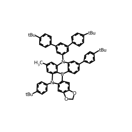 Cc1cc2c3c(c1)N(c1ccc(C(C)(C)C)cc1)c1cc4c(cc1B3c1ccc(-c3ccc(C(C)(C)C)cc3)cc1N2c1cc(-c2ccc(C(C)(C)C)cc2)cc(-c2ccc(C(C)(C)C)cc2)c1)OCO4